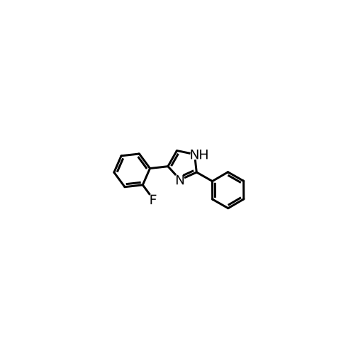 Fc1ccccc1-c1c[nH]c(-c2ccccc2)n1